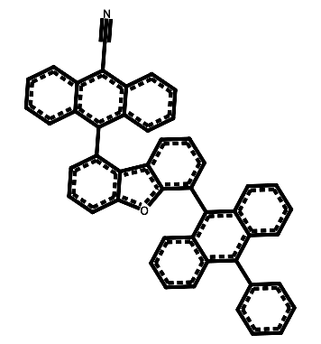 N#Cc1c2ccccc2c(-c2cccc3oc4c(-c5c6ccccc6c(-c6ccccc6)c6ccccc56)cccc4c23)c2ccccc12